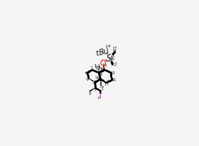 C[C@H](CI)[C@H]1CCC[C@H]2[C@@H](O[Si](C)(C)C(C)(C)C)CCC[C@]12C